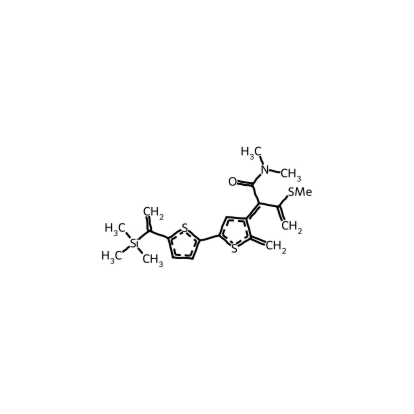 C=C(SC)/C(C(=O)N(C)C)=c1/cc(-c2ccc(C(=C)[Si](C)(C)C)s2)sc1=C